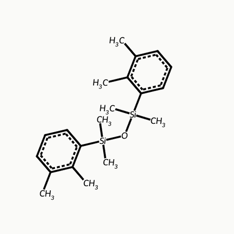 Cc1cccc([Si](C)(C)O[Si](C)(C)c2cccc(C)c2C)c1C